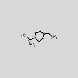 CC(N)N1CCC(CN)CC1